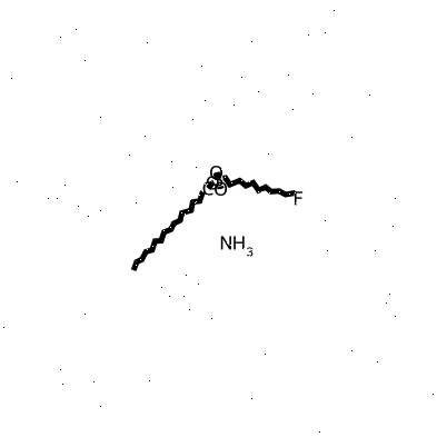 CCCCCCCCCCCCCCCCCOS(=O)(=O)CCCCCCCCCCCF.N